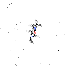 CCCCN(CCC(C)C)CC(C)COCCN(CCC(C)C)CC(C)C